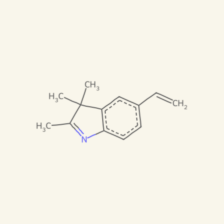 C=Cc1ccc2c(c1)C(C)(C)C(C)=N2